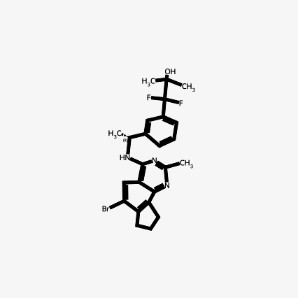 Cc1nc(N[C@H](C)c2cccc(C(F)(F)C(C)(C)O)c2)c2cc(Br)c3c(c2n1)CCC3